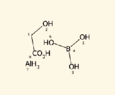 O=C(O)CO.OB(O)O.[AlH3]